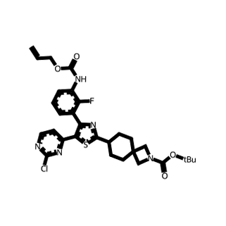 C=CCOC(=O)Nc1cccc(-c2nc(C3CCC4(CC3)CN(C(=O)OC(C)(C)C)C4)sc2-c2ccnc(Cl)n2)c1F